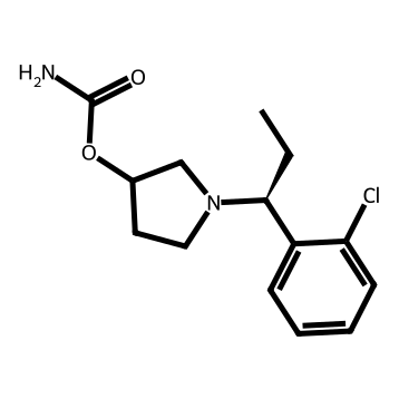 CC[C@@H](c1ccccc1Cl)N1CCC(OC(N)=O)C1